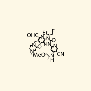 CCC(CF)N(C(=O)Nc1cc(N[C@H](C)COC)c(C#N)cn1)c1nc(C=O)c(CN2CCN(C)CC2=O)cc1C